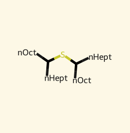 CCCCCCCCC(CCCCCCC)SC(CCCCCCC)CCCCCCCC